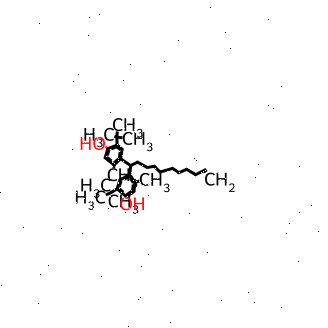 C=CCCCCCCCCC(c1cc(C(C)(C)C)c(O)cc1C)c1cc(C(C)(C)C)c(O)cc1C